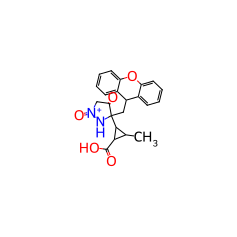 CC1C(C(=O)O)C1C1(CC2c3ccccc3Oc3ccccc32)N[N+](=O)CC1=O